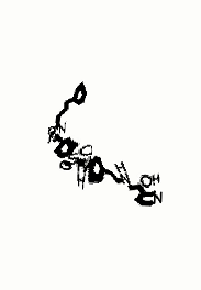 O=S(=O)(Nc1ccc(CCNCC(O)c2cccnc2)cc1)c1ccc(-c2noc(CCCc3ccccc3)n2)cc1